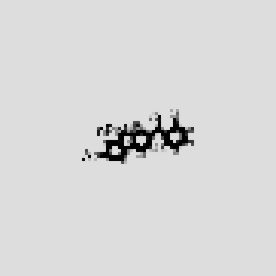 CCCC1(CCC)c2cc(C(C)=O)ccc2-c2ccc(C(=O)c3ccccc3C)cc21